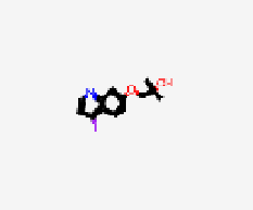 CC(C)(O)COc1ccc2c(I)ccnc2c1